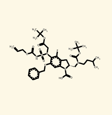 C=CCOC(=O)NS(=O)(=O)N(CC(=O)OC(C)(C)C)c1c(OCc2ccccc2)cc2c(c1F)C[C@H](CN(CCC(C)C)C(=O)OC(C)(C)C)N2C(=O)O